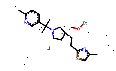 CCOC[C@]1(CCc2nc(C)cs2)CCN(C(C)(C)c2ccc(C)nc2)C1.Cl